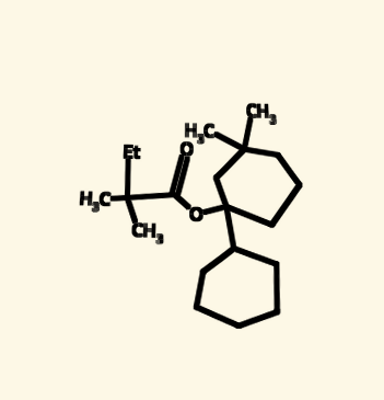 CCC(C)(C)C(=O)OC1(C2CCCCC2)CCCC(C)(C)C1